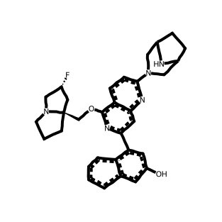 Oc1cc(-c2cc3nc(N4CC5CCC(C4)N5)ccc3c(OC[C@@]34CCCN3C[C@H](F)C4)n2)c2ccccc2c1